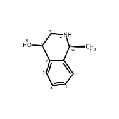 C[C@@H]1NCC(O)c2ccccc21